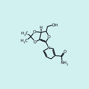 CC1(C)OC2=C(N3C=CCC(C(N)=O)=C3)OC(CO)[C@H]2O1